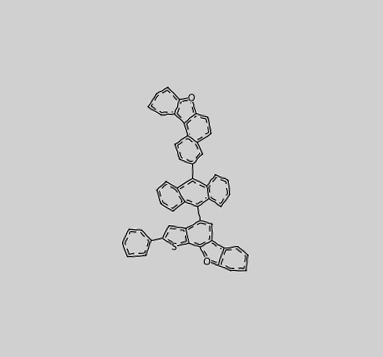 c1ccc(-c2cc3c(-c4c5ccccc5c(-c5ccc6c(ccc7oc8ccccc8c76)c5)c5ccccc45)cc4c5ccccc5oc4c3s2)cc1